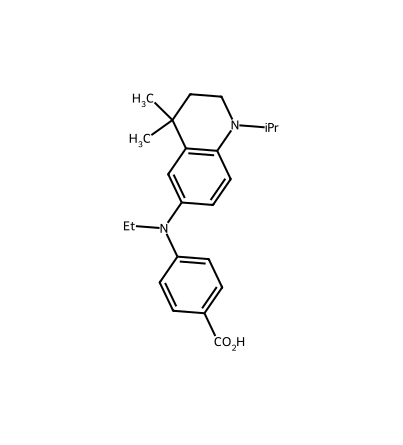 CCN(c1ccc(C(=O)O)cc1)c1ccc2c(c1)C(C)(C)CCN2C(C)C